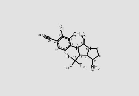 Cc1c(N2C(=O)N3CCC(N)C3C2C(F)(F)F)ccc(C#N)c1Cl